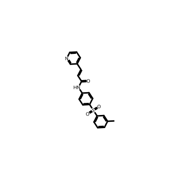 Cc1cccc(S(=O)(=O)c2ccc(NC(=O)C=Cc3cccnc3)cc2)c1